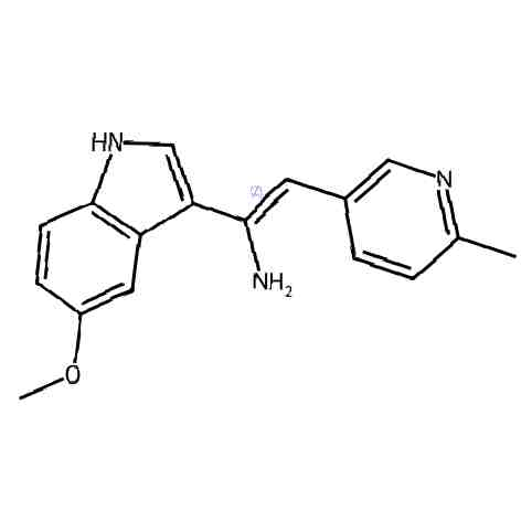 COc1ccc2[nH]cc(/C(N)=C/c3ccc(C)nc3)c2c1